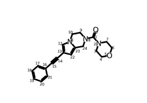 O=C(N1CCOCC1)N1CCn2cc(C#Cc3ccccc3)cc2C1